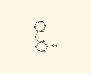 Oc1ncnc(Cc2ccccc2)n1